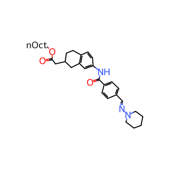 CCCCCCCCOC(=O)CC1CCc2ccc(NC(=O)c3ccc(C=NN4CCCCC4)cc3)cc2C1